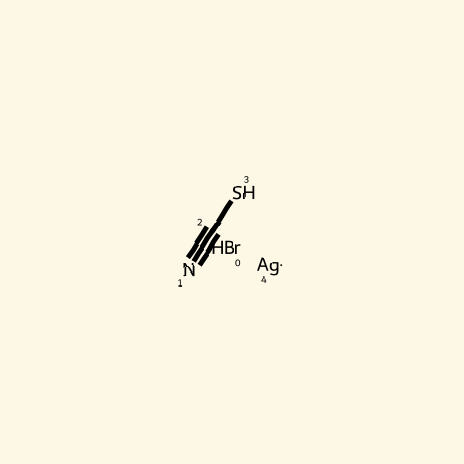 Br.N#CS.[Ag]